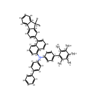 [2H]c1c([2H])c([2H])c(-c2ccc(N(c3ccc(-c4ccccc4)cc3)c3cccc4c(-c5ccc6c(c5)C(C)(C)c5ccccc5-6)cccc34)cc2)c([2H])c1[2H]